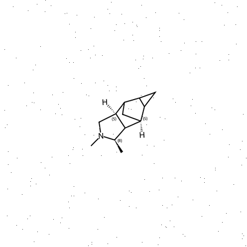 C[C@@H]1C2[C@H]3CC(C4CC43)[C@@H]2CN1C